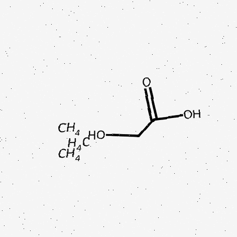 C.C.C.O=C(O)CO